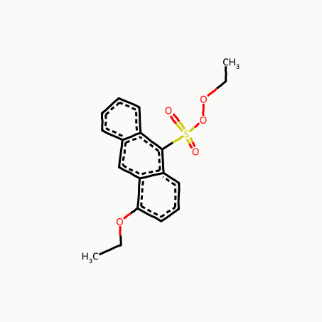 CCOOS(=O)(=O)c1c2ccccc2cc2c(OCC)cccc12